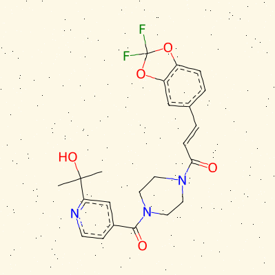 CC(C)(O)c1cc(C(=O)N2CCN(C(=O)C=Cc3ccc4c(c3)OC(F)(F)O4)CC2)ccn1